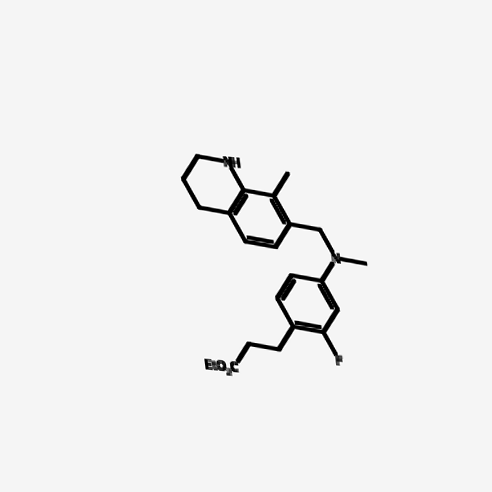 CCOC(=O)CCc1ccc(N(C)Cc2ccc3c(c2C)NCCC3)cc1F